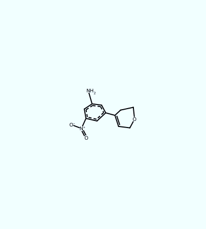 Nc1cc(C2=CCOCC2)cc([N+](=O)[O-])c1